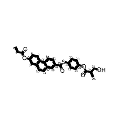 C=CC(=O)Oc1ccc2c(ccc3cc(C(=O)Sc4ccc(OC(=O)C(=C)CO)cc4)ccc32)c1